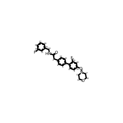 O=C(Cc1ccc(-c2ccc(ON3CCOCC3)cc2F)cc1)NCc1cccc(F)c1